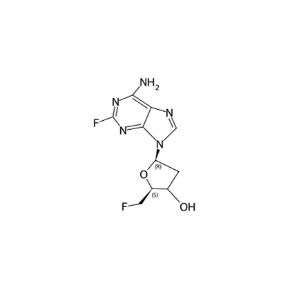 Nc1nc(F)nc2c1ncn2[C@H]1CC(O)[C@@H](CF)O1